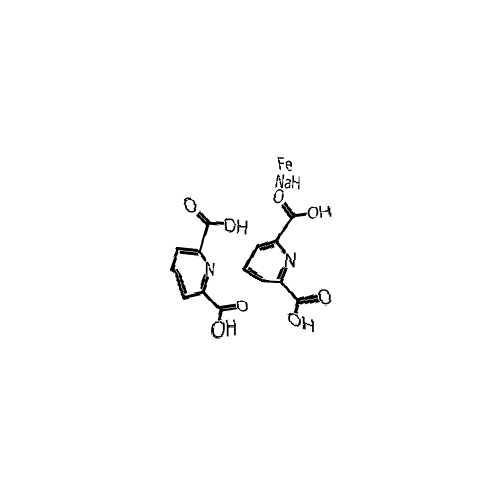 O=C(O)c1cccc(C(=O)O)n1.O=C(O)c1cccc(C(=O)O)n1.[Fe].[NaH]